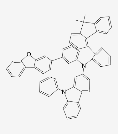 CC1(C)c2ccccc2-c2c(-c3ccccc3N(c3cccc(-c4ccc5c(c4)oc4ccccc45)c3)c3ccc4c5ccccc5n(-c5ccccc5)c4c3)cccc21